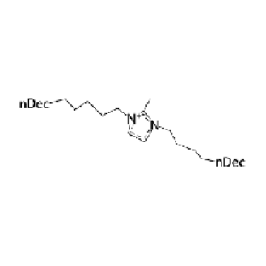 CCCCCCCCCCCCCCC[n+]1ccn(CCCCCCCCCCCCCC)c1C